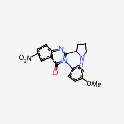 COc1ccc(-n2c([C@H]3CCCN3)nc3ccc([N+](=O)[O-])cc3c2=O)cc1